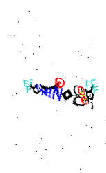 CC(C)([C@H]1C[C@H](NC(=O)c2cn3cc(C(F)(F)F)ccc3n2)C1)S(=O)(=O)c1cccc(C(F)(F)F)c1